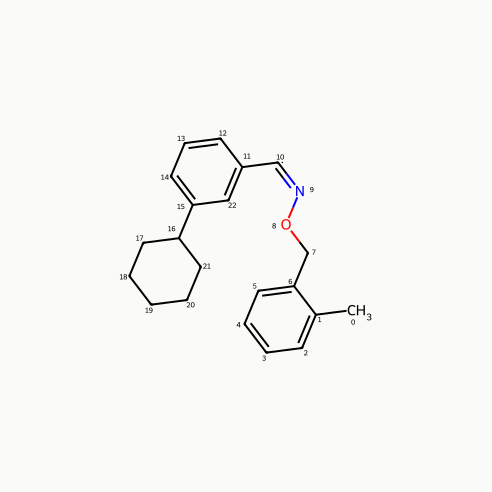 Cc1ccccc1CO/N=[C]\c1cccc(C2CCCCC2)c1